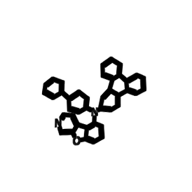 c1ccc(-c2ccc(N(c3ccc4c5ccccc5c5ccccc5c4c3)c3cccc4oc5cnccc5c34)cc2)cc1